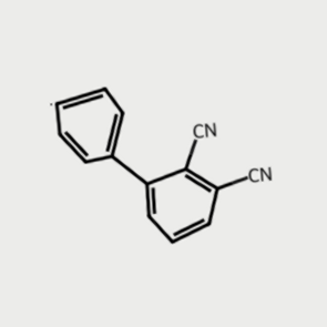 N#Cc1cccc(-c2cc[c]cc2)c1C#N